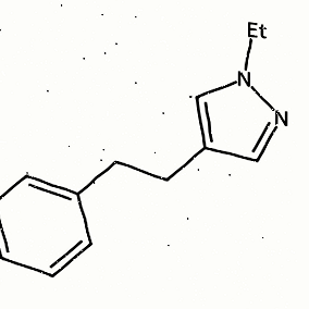 CCn1[c]c(CCc2ccccc2)cn1